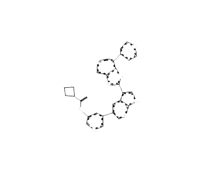 O=C(Nc1cncc(-c2cnc3[nH]cc(-c4nc5c(-c6ccncc6)cncc5[nH]4)c3c2)c1)C1CCC1